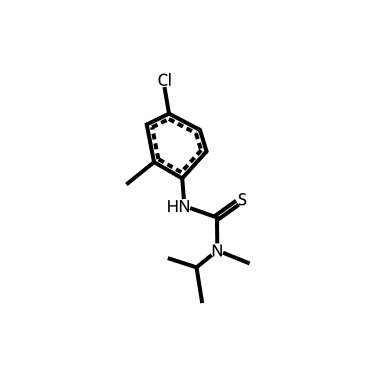 Cc1cc(Cl)ccc1NC(=S)N(C)C(C)C